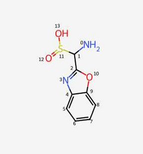 NC(c1nc2ccccc2o1)S(=O)O